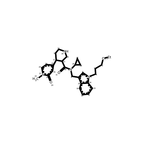 CCOCCCn1cc(CN(C(=O)C2CNCCC2c2ccn(C)c(=O)c2)C2CC2)c2ccccc21